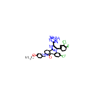 COc1ccc(CNC(=O)Cc2ccc(Cl)cc2-n2c(C3CCCCC3)nc(-c3nn[nH]n3)c2-c2ccc(F)c(Cl)c2)cc1